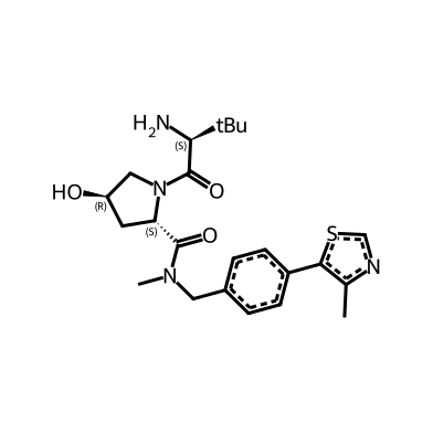 Cc1ncsc1-c1ccc(CN(C)C(=O)[C@@H]2C[C@@H](O)CN2C(=O)[C@@H](N)C(C)(C)C)cc1